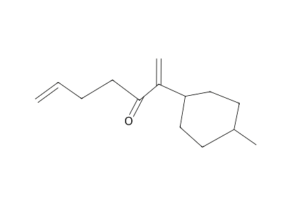 C=CCCC(=O)C(=C)C1CCC(C)CC1